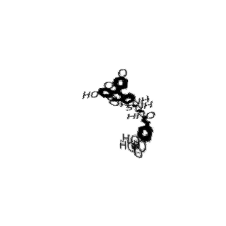 O=C(CCc1ccc(OP(=O)(O)O)cc1)NCCNC(=S)Nc1ccc(-c2c3ccc(=O)cc-3oc3cc(O)ccc23)c(C(=O)O)c1